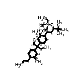 C=CCc1ccc(C(CC)(CC)c2ccc(CCC(O[Si](CC)(CC)CC)C(C)(C)C)c(C)c2)cc1C